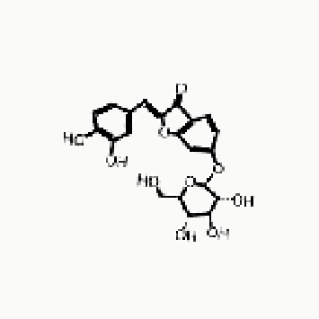 O=C1/C(=C/c2ccc(O)c(O)c2)Oc2cc(O[C@@H]3O[C@H](CO)[C@@H](O)[C@H](O)[C@H]3O)ccc21